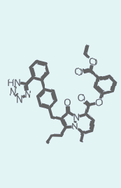 CCCc1c(Cc2ccc(-c3ccccc3-c3nnn[nH]3)cc2)c(=O)n2n1C(C)C=CC2C(=O)Oc1cccc(C(=O)OCC)c1